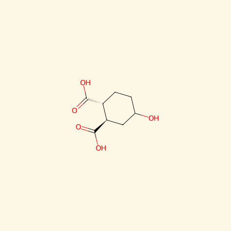 O=C(O)[C@@H]1CCC(O)C[C@H]1C(=O)O